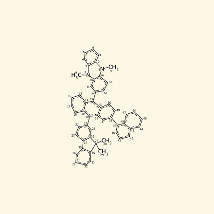 CN1c2ccccc2N(C)c2cc(-c3c4ccccc4c(-c4ccc5c(c4)C(C)(C)c4ccccc4-5)c4cc(-c5cccc6ccccc56)ccc34)ccc21